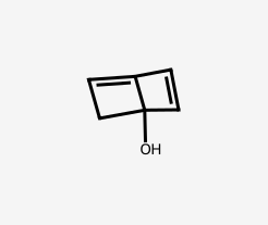 OC12C=CC1=CC2